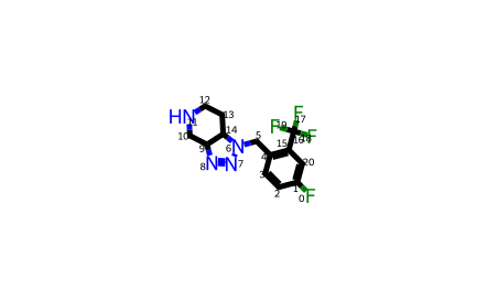 Fc1ccc(CN2N=NC3CNCCC32)c(C(F)(F)F)c1